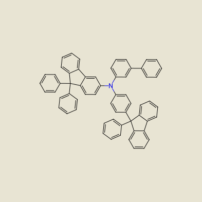 c1ccc(-c2cccc(N(c3ccc(C4(c5ccccc5)c5ccccc5-c5ccccc54)cc3)c3ccc4c(c3)-c3ccccc3C4(c3ccccc3)c3ccccc3)c2)cc1